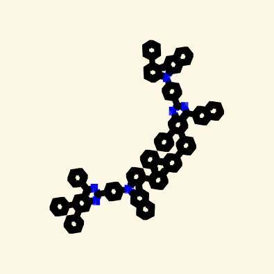 c1ccc(-c2cc3nc(-c4ccc(-n5c6cc7ccccc7cc6c6c(-c7cccc8c9ccc(-c%10cccc(-c%11cc%12c(-c%13ccc%14ccccc%14c%13)nc(-c%13ccc(-n%14c%15cc%16ccccc%16cc%15c%15c(-c%16ccccc%16)cccc%15%14)cc%13)nc%12cc%11-c%11ccccc%11)c%10)cc9c9ccccc9c78)cccc65)cc4)nc(-c4ccccc4)c3cc2-c2ccccc2)cc1